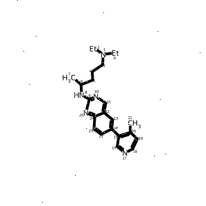 CCN(CC)CCCC(C)Nc1ncc2cc(-c3cnccc3C)ccc2n1